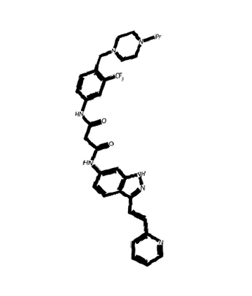 CC(C)N1CCN(Cc2ccc(NC(=O)CC(=O)Nc3ccc4c(C=Cc5ccccn5)n[nH]c4c3)cc2C(F)(F)F)CC1